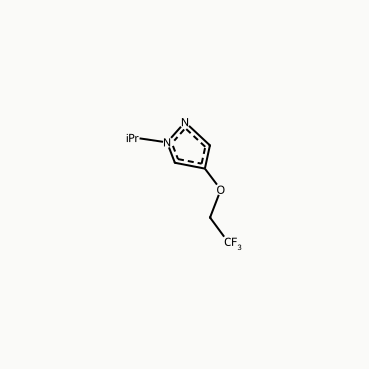 CC(C)n1cc(OCC(F)(F)F)cn1